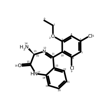 CCOc1cc(Cl)cc(Cl)c1C1=N[C@H](N)C(=O)Nc2ccccc21